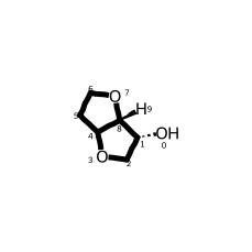 O[C@@H]1COC2CCO[C@@H]21